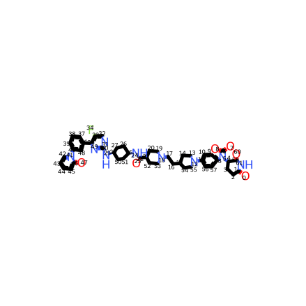 O=C1CCC(n2c(=O)oc3cc(N4CCC(CCN5CCC(C(=O)N[C@H]6CC[C@H](Nc7ncc(F)c(-c8cccc(-n9ccccc9=O)c8)n7)CC6)CC5)CC4)ccc32)C(=O)N1